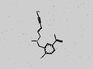 C=C(C)c1ccc(F)c(CN(C)CC=CC#CC(C)(C)C)c1